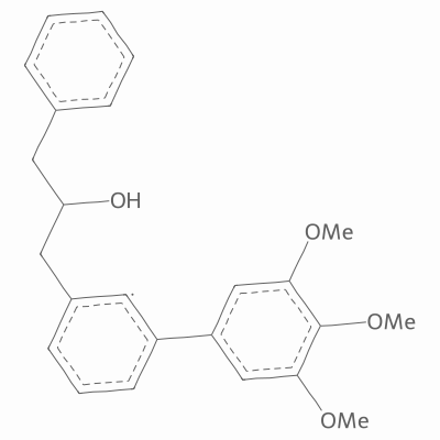 COc1cc(-c2[c]c(CC(O)Cc3ccccc3)ccc2)cc(OC)c1OC